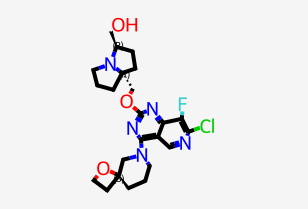 OC[C@H]1CC[C@@]2(COc3nc(N4CCC[C@]5(CCO5)C4)c4cnc(Cl)c(F)c4n3)CCCN12